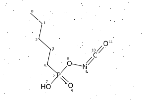 CCCCCP(=O)(O)ON=C=O